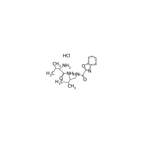 CC(C)C(CNC(=O)c1nc2ccccc2o1)NC(=O)C(N)C(C)C.Cl